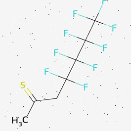 CC(=S)CC(F)(F)C(F)(F)C(F)(F)C(F)(F)F